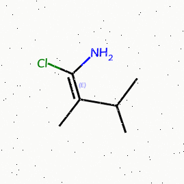 C/C(=C(/N)Cl)C(C)C